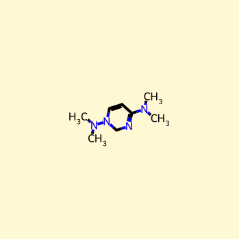 CN(C)C1=NCN(N(C)C)C=C1